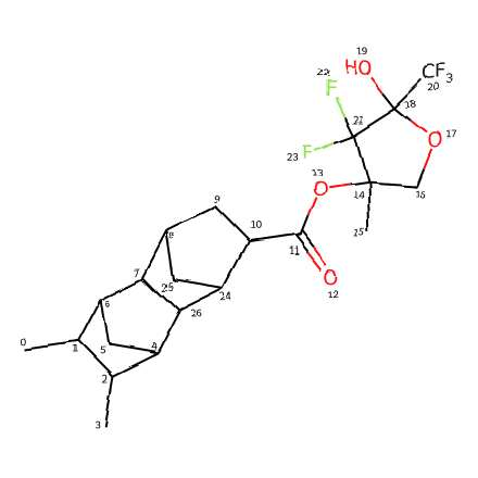 CC1C(C)C2CC1C1C3CC(C(=O)OC4(C)COC(O)(C(F)(F)F)C4(F)F)C(C3)C21